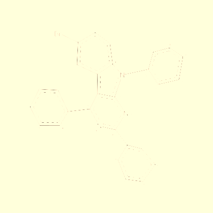 Brc1ccc2c(c1)c1c(-c3ccccc3)nc(-c3ccccc3)nc1n2-c1ccccc1